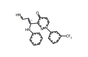 N=C/C=C(\Nc1ccccc1)c1nn(-c2cccc(C(F)(F)F)c2)ccc1=O